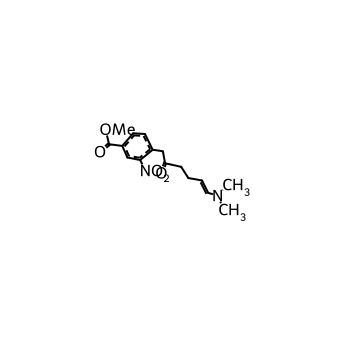 COC(=O)c1ccc(CC(=O)CCC=CN(C)C)c([N+](=O)[O-])c1